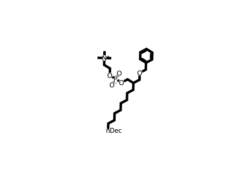 CCCCCCCCCCCCCCCCCCC(COCc1ccccc1)COP(=O)([O-])OCC[N+](C)(C)C